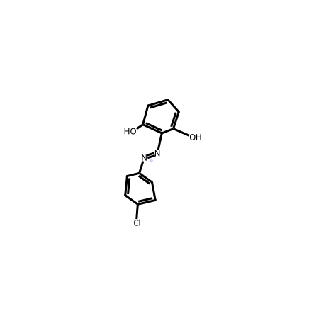 Oc1cccc(O)c1/N=N/c1ccc(Cl)cc1